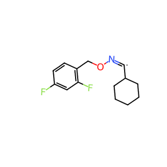 Fc1ccc(CO/N=[C]\C2CCCCC2)c(F)c1